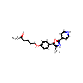 COC(=O)CCCCOc1ccc(-c2oc(-c3ccncc3)nc2C)cc1